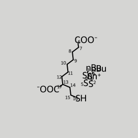 CCC[CH2][Sn+]=[S].CCC[CH2][Sn+]=[S].O=C([O-])CCCCCCC(CCS)C(=O)[O-]